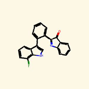 O=C1C(c2ccccc2-c2c[nH]c3c(F)cccc23)=Nc2ccccc21